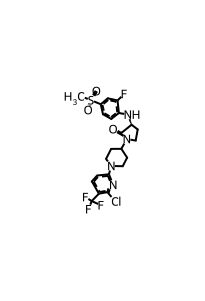 CS(=O)(=O)c1ccc(N[C@H]2CCN(C3CCN(c4ccc(C(F)(F)F)c(Cl)n4)CC3)C2=O)c(F)c1